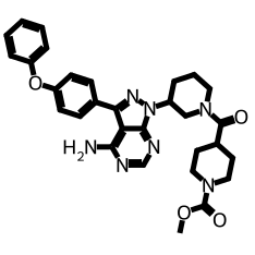 COC(=O)N1CCC(C(=O)N2CCCC(n3nc(-c4ccc(Oc5ccccc5)cc4)c4c(N)ncnc43)C2)CC1